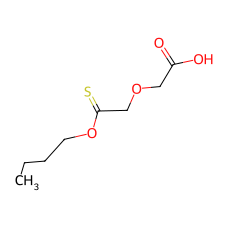 CCCCOC(=S)COCC(=O)O